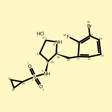 Cl.O=S(=O)(N[C@H]1CCN[C@H]1Cc1cccc(Br)c1F)C1CC1